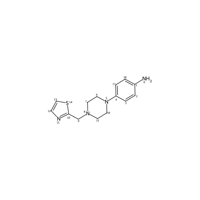 Nc1ccc(N2CCN(Cc3nccs3)CC2)cc1